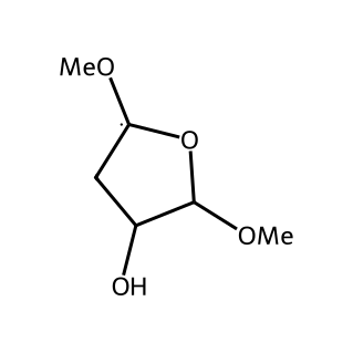 CO[C]1CC(O)C(OC)O1